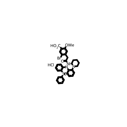 COc1cc(CC(=O)NN(c2ccccc2N2CCCCC2)c2ccccc2[S+]([O-])c2ccccc2)c(Br)cc1C(=O)O.Cl